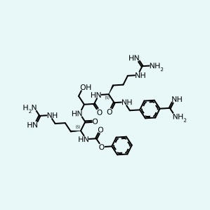 N=C(N)NCCC[C@H](NC(=O)Oc1ccccc1)C(=O)NC(CO)C(=O)N[C@@H](CCCNC(=N)N)C(=O)NCc1ccc(C(=N)N)cc1